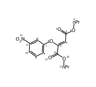 CCCOC(=O)/C=C(\Oc1cccc([N+](=O)[O-])c1)C(=O)OCCC